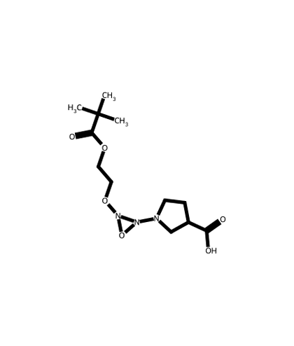 CC(C)(C)C(=O)OCCOn1on1N1CCC(C(=O)O)C1